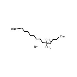 CCCCCCCCCCCCCCCCCC[N+](C)(C)CCCCCCCCCCCCC.[Br-]